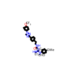 CCN/C(=N\C(=O)NCCc1ccc(-c2ncn(-c3ccc(OC(F)(F)F)cc3)n2)cc1)N(C=O)c1ccc(OC)cc1C